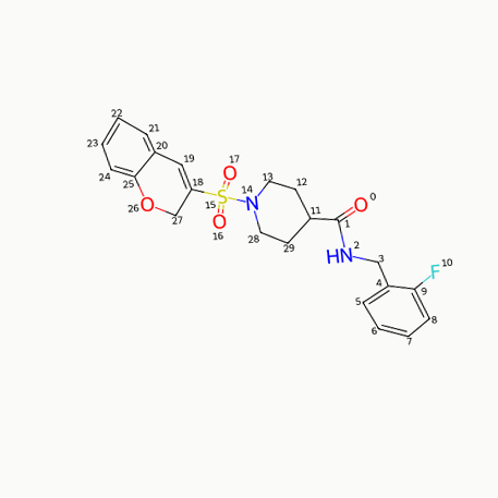 O=C(NCc1ccccc1F)C1CCN(S(=O)(=O)C2=Cc3ccccc3OC2)CC1